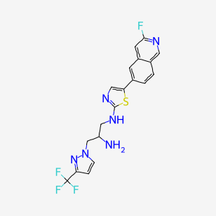 NC(CNc1ncc(-c2ccc3cnc(F)cc3c2)s1)Cn1ccc(C(F)(F)F)n1